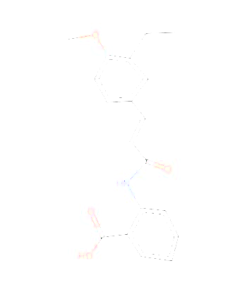 CCc1cc(C=CC(=O)Nc2ccccc2C(=O)O)ccc1OC